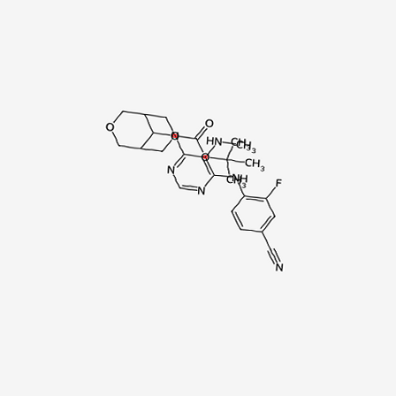 CNc1c(Nc2ccc(C#N)cc2F)ncnc1OC1C2COCC1CN(C(=O)OC(C)(C)C)C2